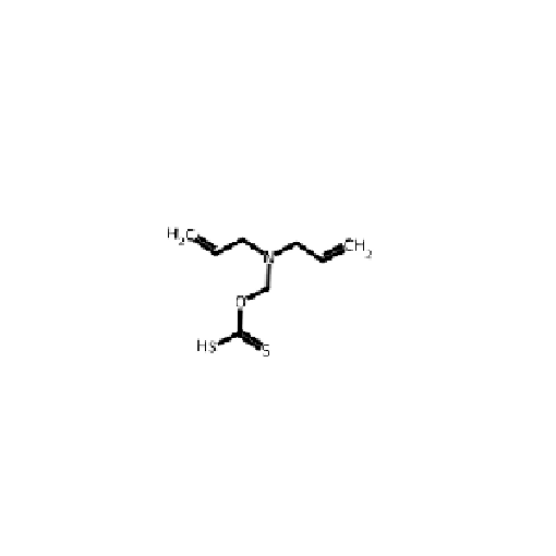 C=CCN(CC=C)COC(=S)S